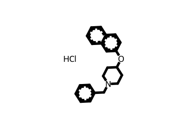 Cl.c1ccc(CN2CCC(Oc3ccc4ccccc4c3)CC2)cc1